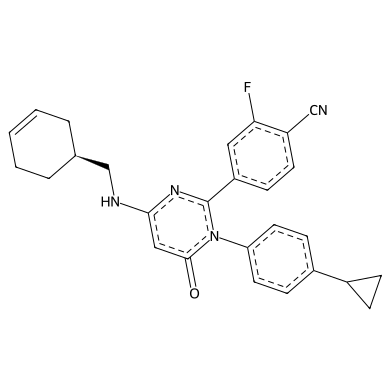 N#Cc1ccc(-c2nc(NC[C@@H]3CC=CCC3)cc(=O)n2-c2ccc(C3CC3)cc2)cc1F